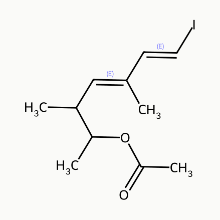 CC(=O)OC(C)C(C)/C=C(C)/C=C/I